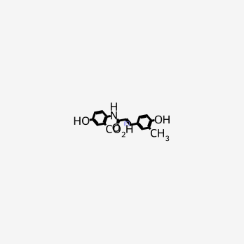 Cc1cc(/C=C/C(=O)Nc2ccc(O)cc2C(=O)O)ccc1O